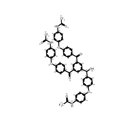 O=C(c1ccc(Oc2ccc(NC(=O)C(F)(F)F)cc2)cc1)c1cc(C(=O)c2ccc(Oc3ccc(NC(=O)C(F)(F)F)cc3)cc2)cc(C(O)c2ccc(Oc3ccc(NC(=O)C(F)(F)F)cc3)cc2)c1